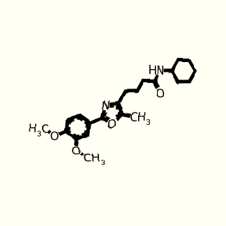 COc1ccc(-c2nc(CCCC(=O)NC3CCCCC3)c(C)o2)cc1OC